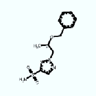 C[C@H](Cn1ncc(S(N)(=O)=O)n1)OCc1ccccc1